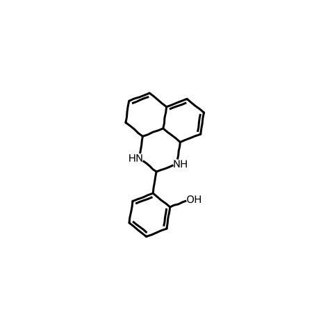 Oc1ccccc1C1NC2C=CC=C3C=CCC(N1)C32